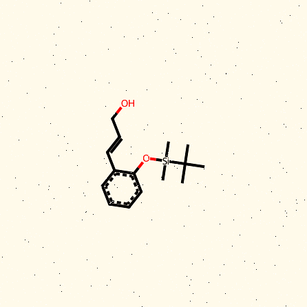 CC(C)(C)[Si](C)(C)Oc1ccccc1C=CCO